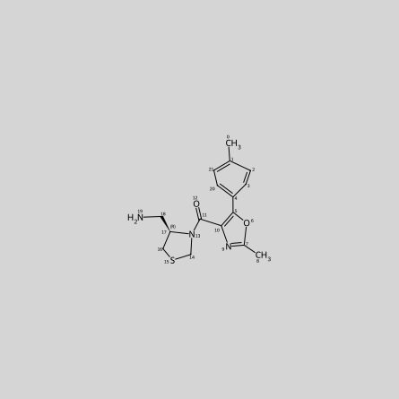 Cc1ccc(-c2oc(C)nc2C(=O)N2CSC[C@H]2CN)cc1